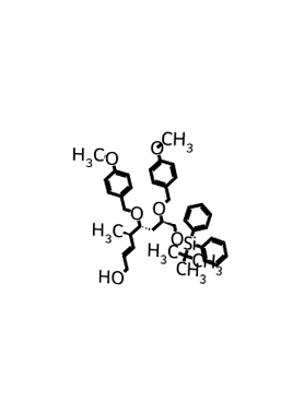 COc1ccc(CO[C@@H](CO[Si](c2ccccc2)(c2ccccc2)C(C)(C)C)C[C@@H](OCc2ccc(OC)cc2)[C@H](C)/C=C/CO)cc1